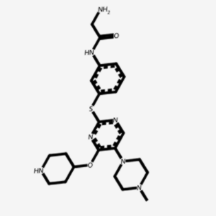 CN1CCN(c2cnc(Sc3cccc(NC(=O)CN)c3)nc2OC2CCNCC2)CC1